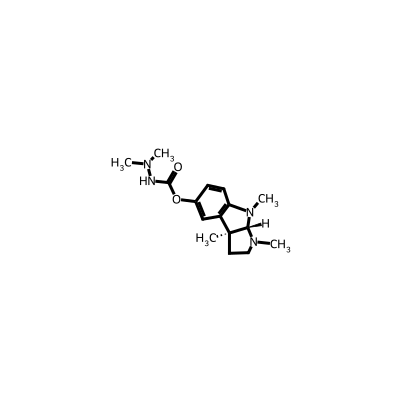 CN(C)NC(=O)Oc1ccc2c(c1)[C@]1(C)CCN(C)[C@H]1N2C